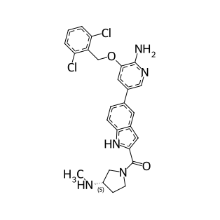 CN[C@H]1CCN(C(=O)c2cc3cc(-c4cnc(N)c(OCc5c(Cl)cccc5Cl)c4)ccc3[nH]2)C1